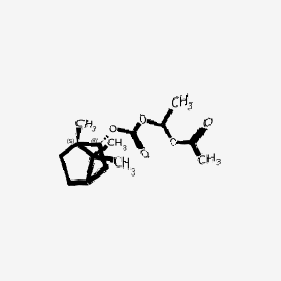 CC(=O)OC(C)OC(=O)O[C@@H]1CC2CC[C@@]1(C)C2(C)C